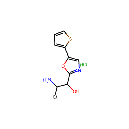 CCC(N)C(O)c1ncc(-c2cccs2)o1.Cl